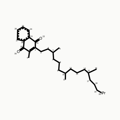 CC1=C(CCC(C)CCCC(C)CCCC(C)CCCC(C)C)C(=O)c2ccccc2C1=O